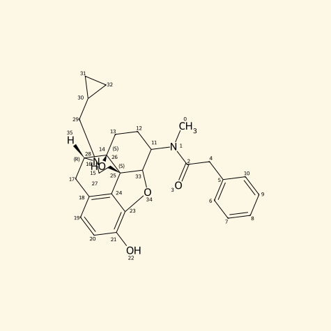 CN(C(=O)Cc1ccccc1)C1CC[C@@]2(O)[C@H]3Cc4ccc(O)c5c4[C@@]2(CCN3CC2CC2)C1O5